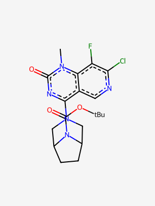 Cn1c(=O)nc(N2CC3CCC(C2)N3C(=O)OC(C)(C)C)c2cnc(Cl)c(F)c21